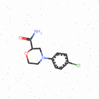 NC(=O)C1CN(c2ccc(Cl)cc2)CCO1